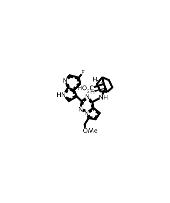 COCc1ccc2c(N[C@H]3C4CCC(CC4)[C@@H]3C(=O)O)nc(-c3c[nH]c4ncc(F)cc34)nn12